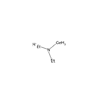 CC[N]([GeH3])CC.[H-]